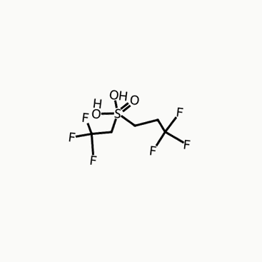 O=S(O)(O)(CCC(F)(F)F)CC(F)(F)F